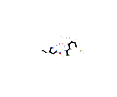 CCC[C@@H]1C[C@@H](C(=O)N[C@@H]([C@H]2O[C@H](SC)[C@H](O)[C@@H](O)[C@H]2O)[C@H](C)Cl)N(C)C1.[NaH]